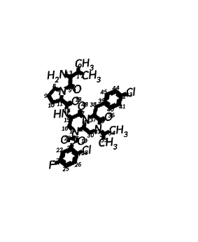 CC(C)C(N)C(=O)N1CCCC1C(=O)NC1CN(S(=O)(=O)c2cc(F)ccc2Cl)C2CN(C(C)C)C(=O)C(Cc3ccc(Cl)cc3)N2C1=O